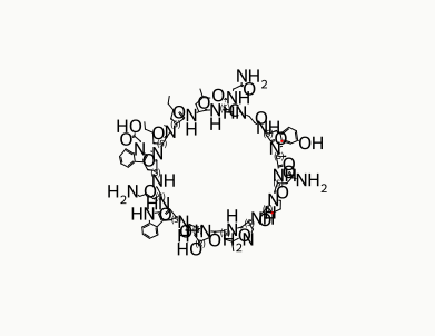 CCCC[C@H]1C(=O)N(C)[C@@H](CCCC)C(=O)NC(CC(C)C)C(=O)N[C@H](C(=O)NCC(N)=O)CNCC(=O)N[C@@H](Cc2ccc(O)cc2)C(=O)N(C)[C@@H](C)C(=O)N[C@@H](CC(N)=O)C(=O)N2CCC[C@H]2C(=O)N[C@@H](CN)C(=O)N[C@@H](CC(C)C)C(=O)N2C[C@H](O)C[C@H]2C(=O)N[C@@H](Cc2c[nH]c3ccccc23)C(=O)N[C@@H](CCCN)C(=O)N[C@@H](Cc2cn(CC(=O)O)c3ccccc23)C(=O)N1C